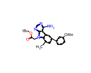 COc1cccc(-c2cc(C)c3c(c2)c2c(N)ncnc2n3CC(=O)OC(C)(C)C)c1